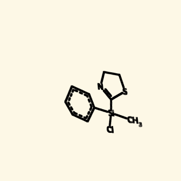 C[Si](Cl)(C1=NCCS1)c1ccccc1